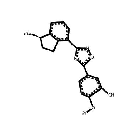 CCCC[C@@H]1CCc2c(-c3noc(-c4ccc(OC(C)C)c(C#N)c4)n3)cccc21